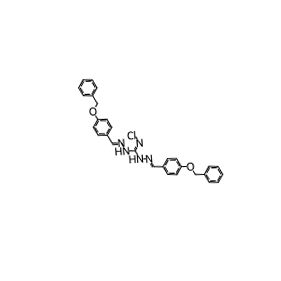 ClN=C(N/N=C/c1ccc(OCc2ccccc2)cc1)N/N=C/c1ccc(OCc2ccccc2)cc1